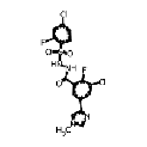 Cn1cnc(-c2cc(Cl)c(F)c(C(=O)NNS(=O)(=O)c3ccc(Cl)cc3F)c2)c1